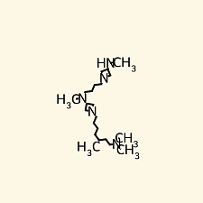 CNC1CN(CCCCN(C)C2CN(CCCCC(C)CCN(C)C)C2)C1